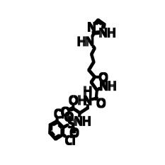 O=C(O)C(CNC(=O)C1CC(CCCCNc2ncc[nH]2)ON1)NS(=O)(=O)c1c(Cl)cccc1Cl